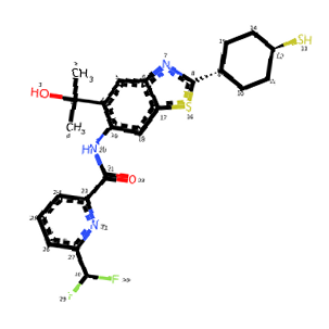 CC(C)(O)c1cc2nc([C@H]3CC[C@H](S)CC3)sc2cc1NC(=O)c1cccc(C(F)F)n1